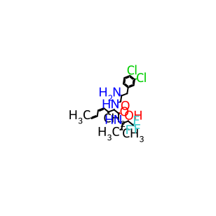 C=C(/C=C\C=C/C)[C@H](NC(=O)[C@@H](N)Cc1ccc(Cl)c(Cl)c1)C(=O)N[C@@H](C(C)C)[C@H](O)C(F)(F)F